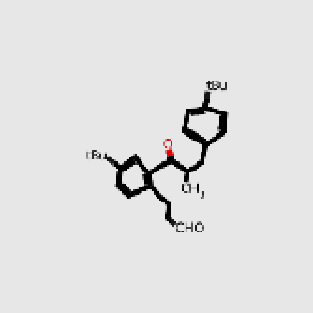 CC(Cc1ccc(C(C)(C)C)cc1)C(=O)c1cc(C(C)(C)C)ccc1CCC=O